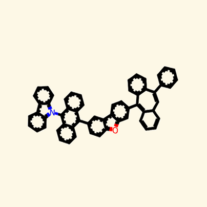 C1=CC2=C(c3ccc4c(c3)oc3ccc(-c5c6ccccc6c(-n6c7ccccc7c7ccccc76)c6ccccc56)cc34)c3ccccc3C(c3ccccc3)=CC2C=C1